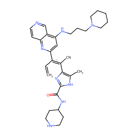 C=C/C(=C(/C#N)c1nc(C(=O)NC2CCNCC2)[nH]c1C)c1cc(NCCCN2CCCCC2)c2cnccc2n1